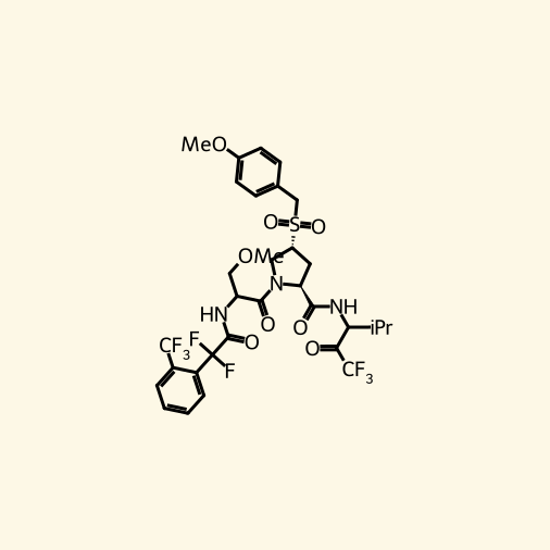 COCC(NC(=O)C(F)(F)c1ccccc1C(F)(F)F)C(=O)N1C[C@H](S(=O)(=O)Cc2ccc(OC)cc2)C[C@H]1C(=O)NC(C(=O)C(F)(F)F)C(C)C